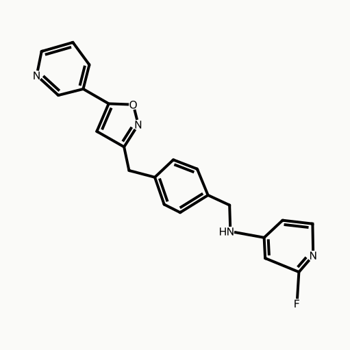 Fc1cc(NCc2ccc(Cc3cc(-c4cccnc4)on3)cc2)ccn1